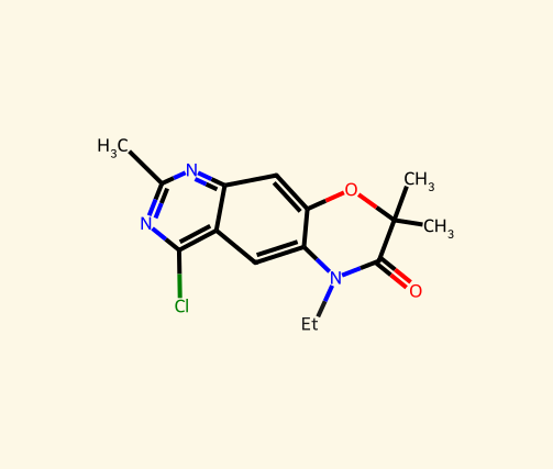 CCN1C(=O)C(C)(C)Oc2cc3nc(C)nc(Cl)c3cc21